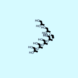 C=CC(=O)O.CC(O)CO.CC(O)CO.CC(O)CO.CC(O)CO.CC(O)CO.CC(O)CO